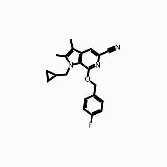 Cc1c(C)n(CC2CC2)c2c(OCc3ccc(F)cc3)nc(C#N)cc12